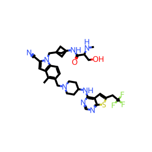 CNC(CO)C(=O)NC12CC(Cn3c(C#N)cc4c(C)c(CN5CCC(Nc6ncnc7sc(CC(F)(F)F)cc67)CC5)ccc43)(C1)C2